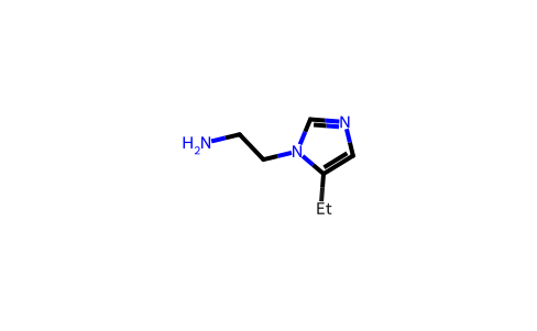 CCc1cncn1CCN